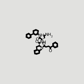 NCC[C@H](NC(=O)[C@@H]1Cc2ccccc2CN1C(=O)CCC(=O)c1ccccc1)C(=O)Nc1cccc(-c2ccccc2)c1